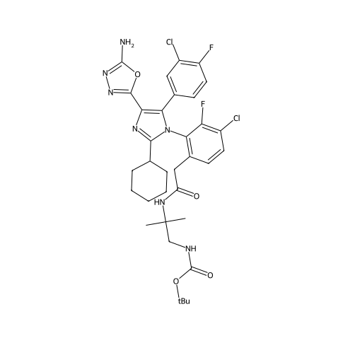 CC(C)(CNC(=O)OC(C)(C)C)NC(=O)Cc1ccc(Cl)c(F)c1-n1c(C2CCCCC2)nc(-c2nnc(N)o2)c1-c1ccc(F)c(Cl)c1